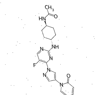 CC(=O)N[C@H]1CC[C@H](Nc2ncc(F)c(-n3cc(-n4ccccc4=O)cn3)n2)CC1